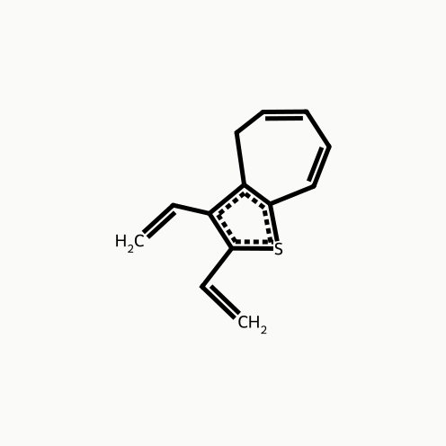 C=Cc1sc2c(c1C=C)CC=CC=C2